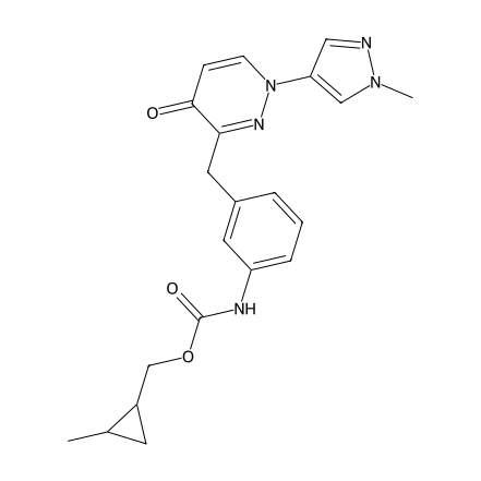 CC1CC1COC(=O)Nc1cccc(Cc2nn(-c3cnn(C)c3)ccc2=O)c1